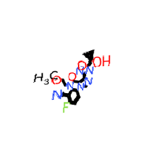 COCCn1c(=O)c2c(-c3noc(C4(O)CC4)n3)ncn2c2ccc(F)c(C#N)c21